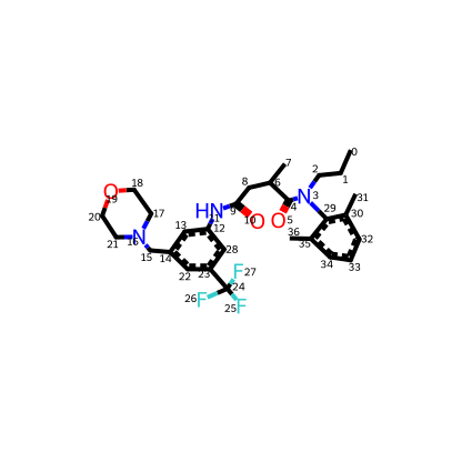 CCCN(C(=O)C(C)CC(=O)Nc1cc(CN2CCOCC2)cc(C(F)(F)F)c1)c1c(C)cccc1C